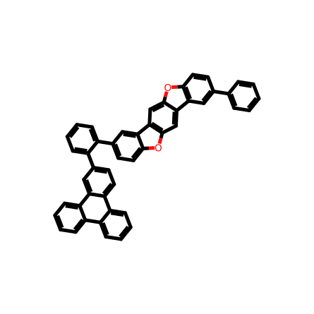 c1ccc(-c2ccc3oc4cc5c(cc4c3c2)oc2ccc(-c3ccccc3-c3ccc4c6ccccc6c6ccccc6c4c3)cc25)cc1